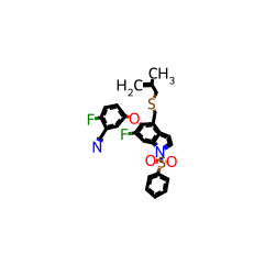 C=C(C)CSCc1c(Oc2ccc(F)c(C#N)c2)c(F)cc2c1ccn2S(=O)(=O)c1ccccc1